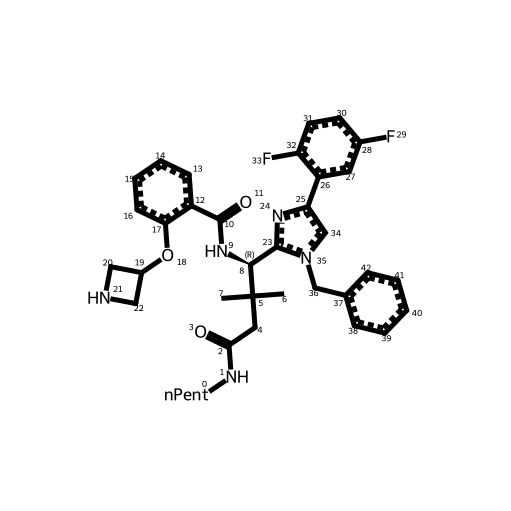 CCCCCNC(=O)CC(C)(C)[C@@H](NC(=O)c1ccccc1OC1CNC1)c1nc(-c2cc(F)ccc2F)cn1Cc1ccccc1